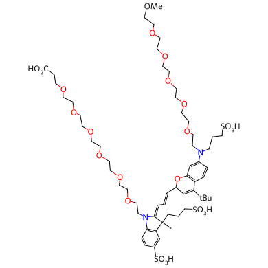 COCCOCCOCCOCCOCCOCCN(CCCS(=O)(=O)O)c1ccc2c(c1)OC(/C=C/C=C1/N(CCOCCOCCOCCOCCOCCOCCC(=O)O)c3ccc(S(=O)(=O)O)cc3C1(C)CCCS(=O)(=O)O)C=C2C(C)(C)C